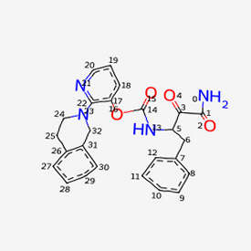 NC(=O)C(=O)C(Cc1ccccc1)NC(=O)Oc1cccnc1N1CCc2ccccc2C1